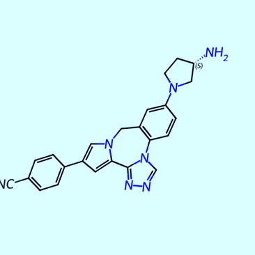 N#Cc1ccc(-c2cc3n(c2)Cc2cc(N4CC[C@H](N)C4)ccc2-n2cnnc2-3)cc1